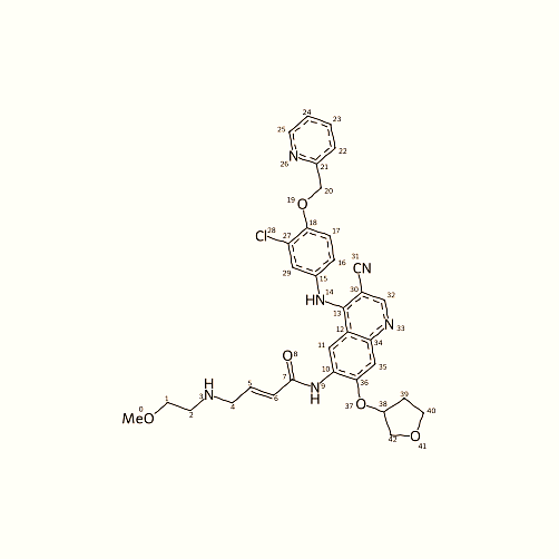 COCCNC/C=C/C(=O)Nc1cc2c(Nc3ccc(OCc4ccccn4)c(Cl)c3)c(C#N)cnc2cc1OC1CCOC1